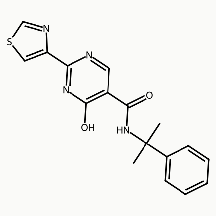 CC(C)(NC(=O)c1cnc(-c2cscn2)nc1O)c1ccccc1